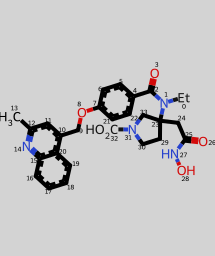 CCN(C(=O)c1ccc(OCc2cc(C)nc3ccccc23)cc1)C1(CC(=O)NO)CCN(C(=O)O)C1